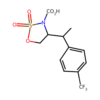 CC(c1ccc(C(F)(F)F)cc1)C1COS(=O)(=O)N1C(=O)O